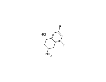 Cl.NC1CCc2cc(F)cc(F)c2C1